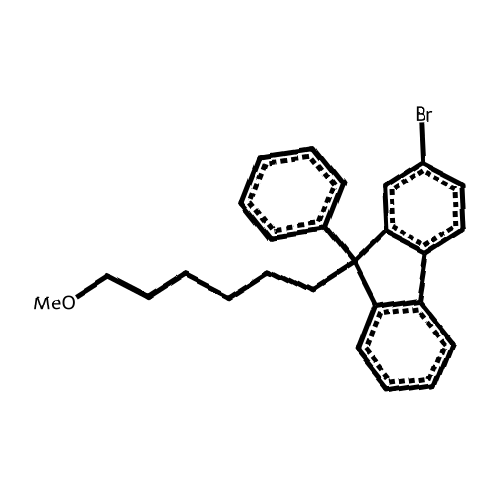 COCCCCCCC1(c2ccccc2)c2ccccc2-c2ccc(Br)cc21